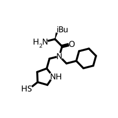 CCC(C)[C@H](N)C(=O)N(CC1CCCCC1)CC1CC(S)CN1